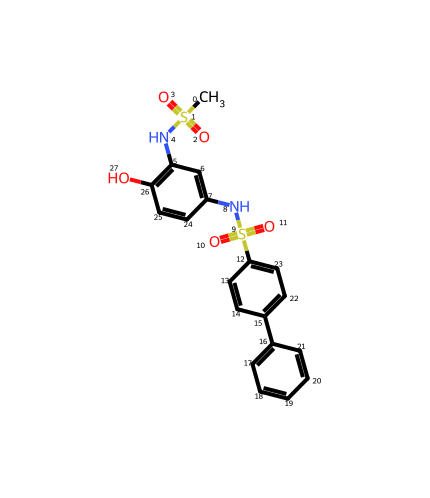 CS(=O)(=O)Nc1cc(NS(=O)(=O)c2ccc(-c3ccccc3)cc2)ccc1O